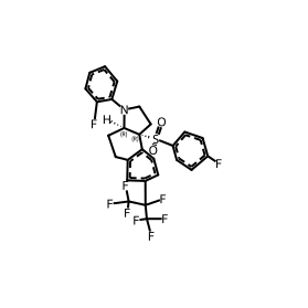 O=S(=O)(c1ccc(F)cc1)[C@@]12CCN(c3ccccc3F)[C@@H]1CCc1cc(C(F)(C(F)(F)F)C(F)(F)F)ccc12